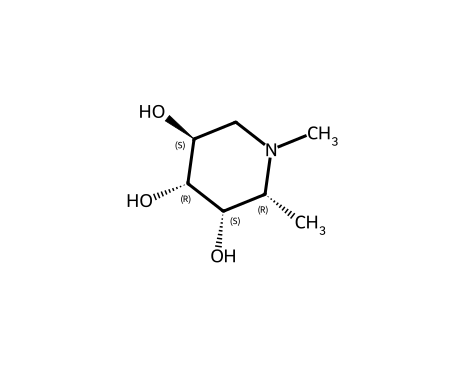 C[C@@H]1[C@H](O)[C@H](O)[C@@H](O)CN1C